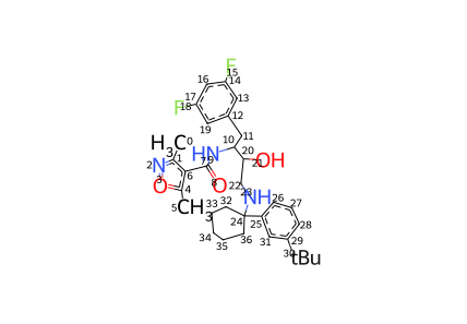 Cc1noc(C)c1C(=O)NC(Cc1cc(F)cc(F)c1)C(O)CNC1(c2cccc(C(C)(C)C)c2)CCCCC1